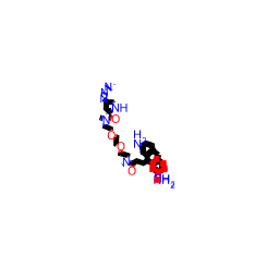 CN(CCOCCOCCN(C)C(=O)[C@@H]1CC(N=[N+]=[N-])CN1)C(=O)CCC12c3cc(N)ccc3C(c3ccc(N)cc31)c1ccc(N)cc12